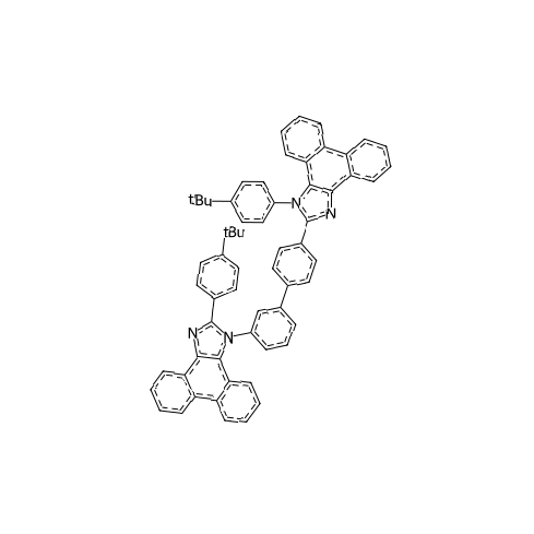 CC(C)(C)c1ccc(-c2nc3c4ccccc4c4ccccc4c3n2-c2cccc(-c3ccc(-c4nc5c6ccccc6c6ccccc6c5n4-c4ccc(C(C)(C)C)cc4)cc3)c2)cc1